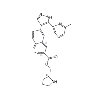 C=c1ccc(-c2cn[nH]c2-c2cccc(C)n2)c/c1=C/C(=C\C)C(=O)OC[C@H]1CCCN1